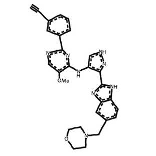 C#Cc1cccc(-c2ncc(OC)c(Nc3c[nH]nc3-c3nc4cc(CN5CCOCC5)ccc4[nH]3)n2)c1